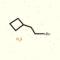 CCCCCCC1CCC1.S